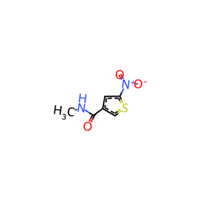 CNC(=O)c1csc([N+](=O)[O-])c1